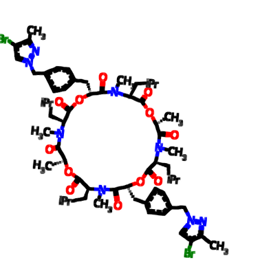 Cc1nn(Cc2ccc(C[C@H]3OC(=O)[C@H](CC(C)C)N(C)C(=O)[C@@H](C)OC(=O)[C@H](CC(C)C)N(C)C(=O)[C@@H](Cc4ccc(Cn5cc(Br)c(C)n5)cc4)OC(=O)[C@H](CC(C)C)N(C)C(=O)[C@@H](C)OC(=O)[C@H](CC(C)C)N(C)C3=O)cc2)cc1Br